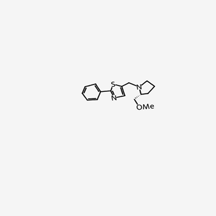 COC[C@H]1CCCN1Cc1cnc(-c2ccccc2)s1